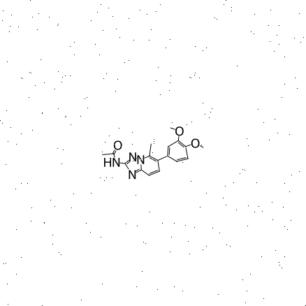 COc1ccc(-c2ccc3nc(NC(C)=O)nn3c2C)cc1OC